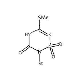 CCN1C(=O)NC(SC)=NS1(=O)=O